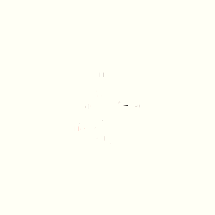 C=CC(O)[C@H](CC(C(=C)O)C(C)(C)C)C(C)(C)C